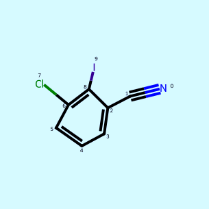 N#Cc1cccc(Cl)c1I